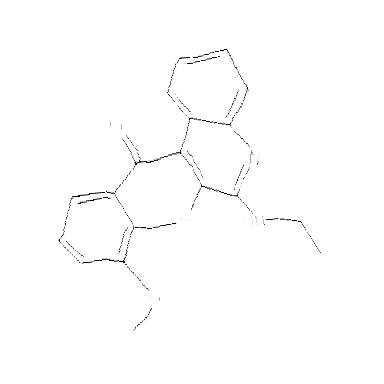 CCNc1nc2ccccc2c2c(=O)c3cccc(OC)c3sc12